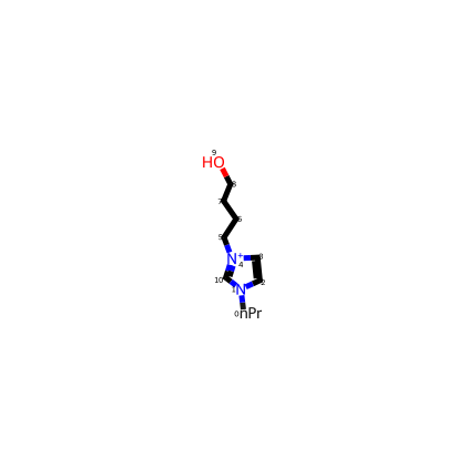 CCCn1cc[n+](CCCCO)c1